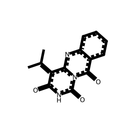 CC(C)=c1c(=O)[nH]c(=O)n2c(=O)c3ccccc3nc12